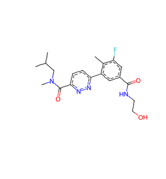 Cc1c(F)cc(C(=O)NCCO)cc1-c1ccc(C(=O)N(C)CC(C)C)nn1